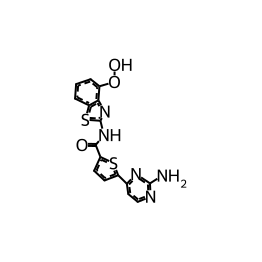 Nc1nccc(-c2ccc(C(=O)Nc3nc4c(OO)cccc4s3)s2)n1